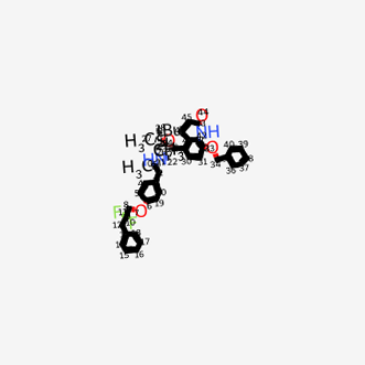 C[C@@H](Cc1ccc(OCC(F)(F)Cc2ccccc2)cc1)NC[C@H](O[Si](C)(C)C(C)(C)C)c1ccc(OCc2ccccc2)c2[nH]c(=O)ccc12